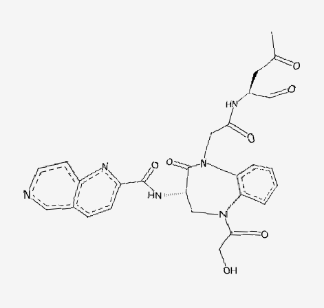 CC(=O)C[C@@H](C=O)NC(=O)CN1C(=O)[C@@H](NC(=O)c2ccc3cnccc3n2)CN(C(=O)CO)c2ccccc21